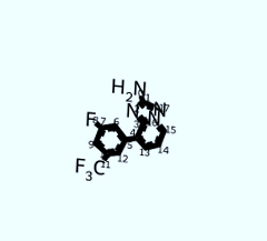 Nc1nc2c(-c3cc(F)cc(C(F)(F)F)c3)cccn2n1